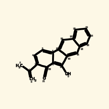 C=C(C)C1=CC=C2C(=C(O)c3cc4ccccc4cc32)C1=O